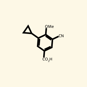 COc1c(C#N)cc(C(=O)O)cc1C1CC1